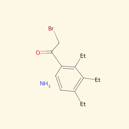 CCc1ccc(C(=O)CBr)c(CC)c1CC.N